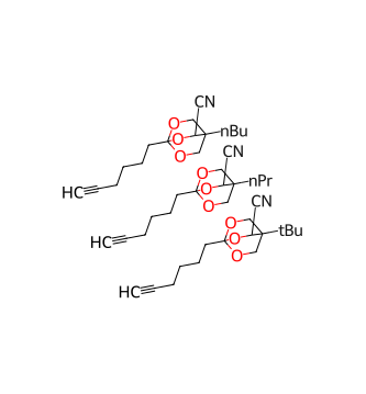 C#CCCCCC12OCC(C(C)(C)C)(CO1)C(C#N)O2.C#CCCCCC12OCC(CCC)(CO1)C(C#N)O2.C#CCCCCC12OCC(CCCC)(CO1)C(C#N)O2